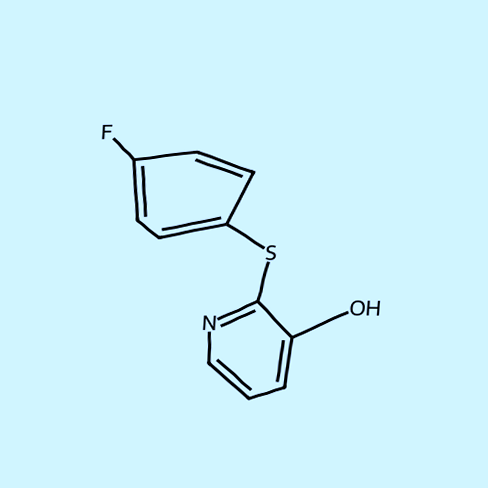 Oc1cccnc1Sc1ccc(F)cc1